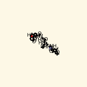 Cc1cc(S(=O)(=O)/N=C(\N)NCCC[C@H](NC(=O)OC(C)(C)C)C(=O)NCCN(C)C(=O)Oc2ccc3c4c2O[C@H]2C(=O)CCC5[C@@H](C3)N(C)C[C@@]452)c(C)c2c1OC(C)(C)C2